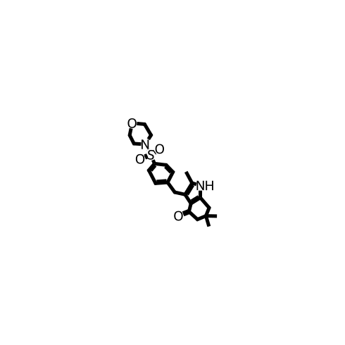 Cc1[nH]c2c(c1Cc1ccc(S(=O)(=O)N3CCOCC3)cc1)C(=O)CC(C)(C)C2